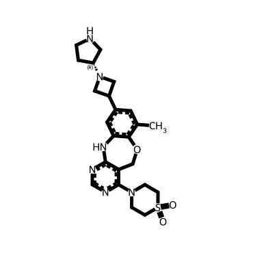 Cc1cc(C2CN([C@@H]3CCNC3)C2)cc2c1OCc1c(ncnc1N1CCS(=O)(=O)CC1)N2